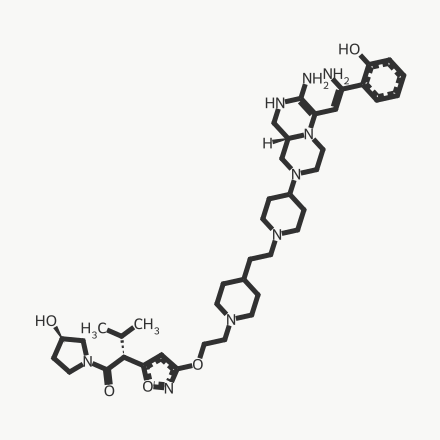 CC(C)[C@@H](C(=O)N1CC[C@@H](O)C1)c1cc(OCCN2CCC(CCN3CCC(N4CCN5C(/C=C(\N)c6ccccc6O)=C(N)NC[C@H]5C4)CC3)CC2)no1